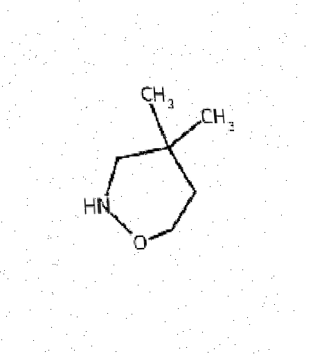 CC1(C)CCONC1